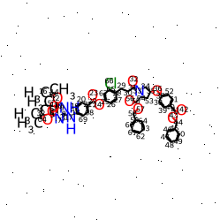 CC(C)(C)OC(=O)/N=C(\NC(=O)OC(C)(C)C)Nc1ccc(C(=O)Oc2ccc(CCC(=O)N3C[C@@H](Oc4ccc(C(=O)OCc5ccccc5)cc4)C[C@H]3C(=O)OCc3ccccc3)c(Cl)c2)cc1